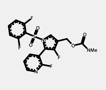 CNC(=O)OCc1cn(S(=O)(=O)c2c(F)cccc2F)c(-c2cccnc2F)c1F